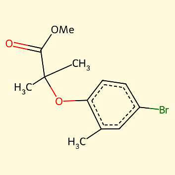 COC(=O)C(C)(C)Oc1ccc(Br)cc1C